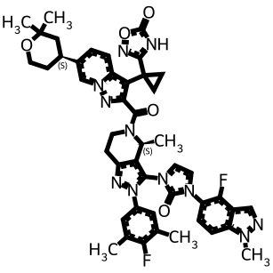 Cc1cc(-n2nc3c(c2-n2ccn(-c4ccc5c(cnn5C)c4F)c2=O)[C@H](C)N(C(=O)c2nn4cc([C@H]5CCOC(C)(C)C5)ccc4c2C2(c4noc(=O)[nH]4)CC2)CC3)cc(C)c1F